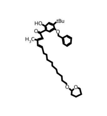 CC(C=CCCCCCCCCCCOC1CCCCO1)=CC(=O)c1cc(OCc2ccccc2)c(C(C)(C)C)cc1O